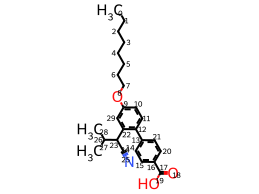 CCCCCCCCOc1ccc(-c2ccc(C(=O)O)cc2)c(C(C#N)C(C)C)c1